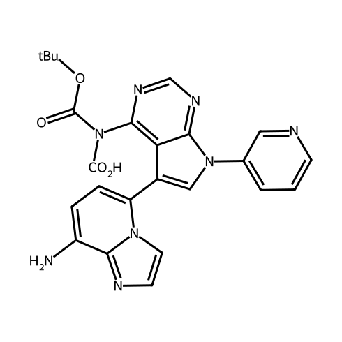 CC(C)(C)OC(=O)N(C(=O)O)c1ncnc2c1c(-c1ccc(N)c3nccn13)cn2-c1cccnc1